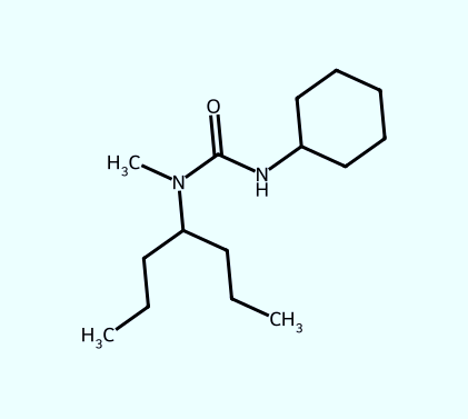 CCCC(CCC)N(C)C(=O)NC1CCCCC1